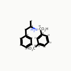 CC(N)Cc1ccccc1.O=C(O)c1cccc(C(=O)O)c1